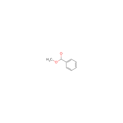 COC([O])c1ccccc1